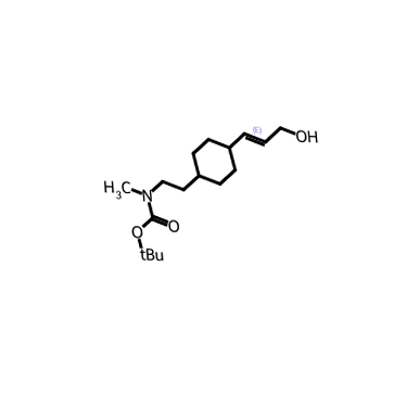 CN(CCC1CCC(/C=C/CO)CC1)C(=O)OC(C)(C)C